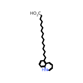 O=C(O)CCCCCCCCCCCCCCCc1cccc2c1C=CC=CN2